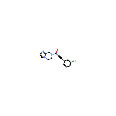 O=C(C#Cc1cccc(Cl)c1)N1CCn2ccnc2C1